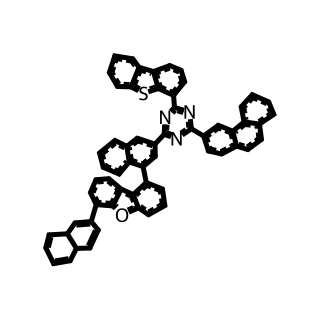 C1=CC2C=CC(c3cccc4c3oc3cccc(-c5cc(-c6nc(-c7ccc8ccc9ccccc9c8c7)nc(-c7cccc8c7sc7ccccc78)n6)cc6ccccc56)c34)=CC2C=C1